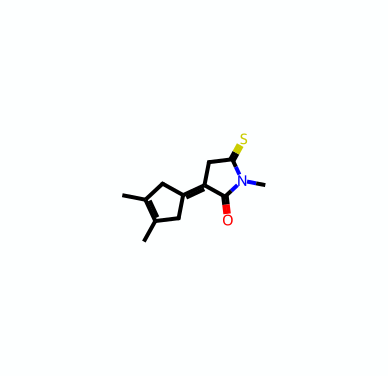 CC1=C(C)CC(=C2CC(=S)N(C)C2=O)C1